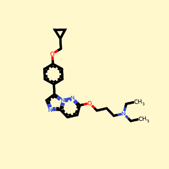 CCN(CC)CCCOc1ccc2ncc(-c3ccc(OCC4CC4)cc3)n2n1